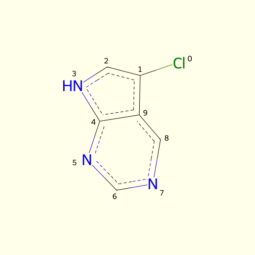 Clc1c[nH]c2ncncc12